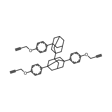 C#CCOc1ccc(C23CC4CC(C2)CC(C25CC6CC(c7ccc(OCC#C)cc7)(CC(c7ccc(OCC#C)cc7)(C6)C2)C5)(C4)C3)cc1